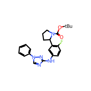 CC(C)(C)OC(=O)N1CCCC1c1cc(Nc2ncn(-c3ccccc3)n2)ccc1F